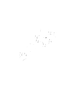 Nc1ncnc2c1c(I)nn2C1CCC(n2cccn2)CC1